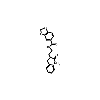 NC(=O)C(CCNC(=O)c1ccc2c(c1)OCO2)Cc1ccccc1